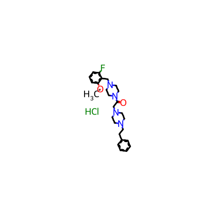 COc1cccc(F)c1CN1CCN(C(=O)CN2CCN(CCc3ccccc3)CC2)CC1.Cl